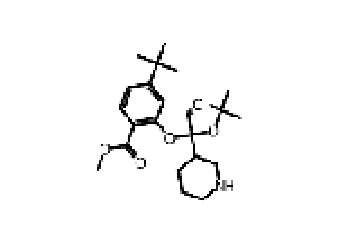 COC(=O)c1ccc(C(C)(C)C)cc1OC(C=O)(OC(C)(C)C)C1CCCNC1